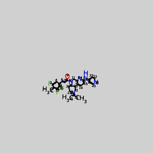 Cc1c(F)cc(/C=C/C(=O)N(Cc2cccc(Nc3ccncc3)n2)C2CCN(C(C)C)CC2)c(F)c1F